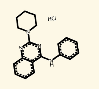 Cl.c1ccc(Nc2nc(N3CCCCC3)nc3ccccc23)cc1